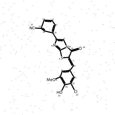 COc1cc(/C=c2\sc3nc(-c4cccc(C#N)c4)cn3c2=O)cc(Cl)c1O